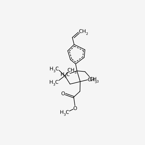 C=Cc1ccc(C(C)(CC)C(C)(CC(=O)OC)CC(C)(C)C)cc1